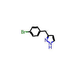 Brc1ccc([CH]c2cc[nH]n2)cc1